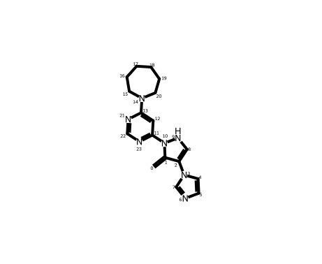 C=C1C(n2ccnc2)=CNN1c1cc(N2CCCCCC2)ncn1